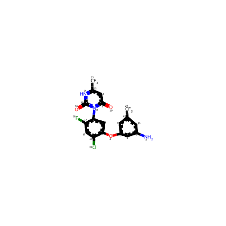 Nc1cc(Oc2cc(-n3c(=O)cc(C(F)(F)F)[nH]c3=O)c(F)cc2Cl)cc(C(F)(F)F)c1